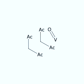 CC(=O)CC(C)=O.CC(=O)CC(C)=O.[O]=[V]